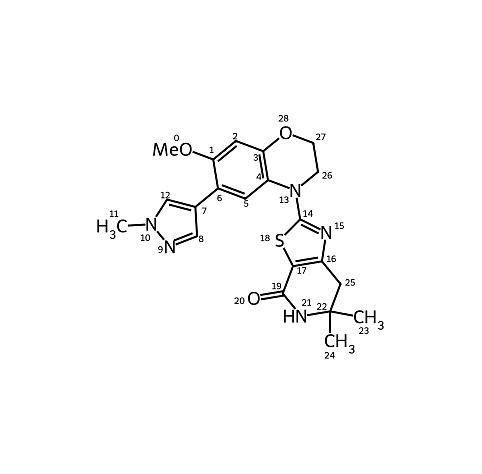 COc1cc2c(cc1-c1cnn(C)c1)N(c1nc3c(s1)C(=O)NC(C)(C)C3)CCO2